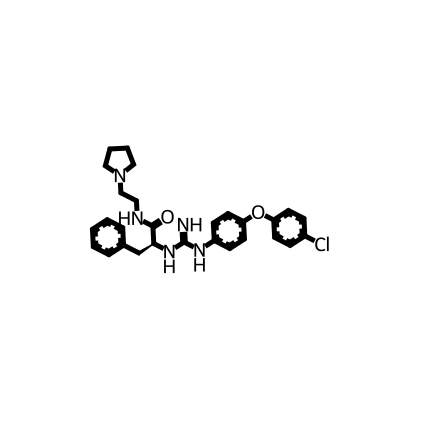 N=C(Nc1ccc(Oc2ccc(Cl)cc2)cc1)N[C@@H](Cc1ccccc1)C(=O)NCCN1CCCC1